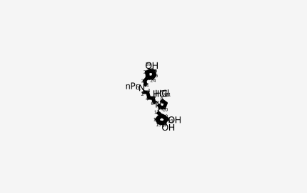 CCCN(CCCCCN1CCC[C@@H]1Cc1ccc(O)c(O)c1)CCc1cccc(O)c1.Cl.Cl